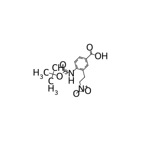 CC(C)(C)OC(=O)Nc1ccc(C(=O)O)cc1CC[N+](=O)[O-]